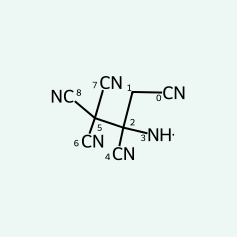 N#CCC([NH])(C#N)C(C#N)(C#N)C#N